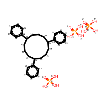 O=P(O)(O)O.O=P(O)(O)O.O=P(O)(O)O.c1ccc(C2CCCC(c3ccccc3)CCCC(c3ccccc3)CCC2)cc1